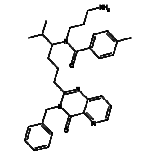 Cc1ccc(C(=O)N(CCCN)C(CCCc2nc3cccnc3c(=O)n2Cc2ccccc2)C(C)C)cc1